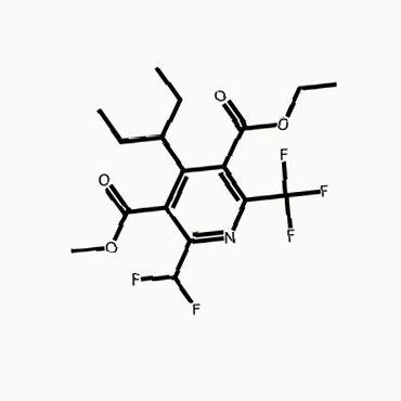 CCOC(=O)c1c(C(F)(F)F)nc(C(F)F)c(C(=O)OC)c1C(CC)CC